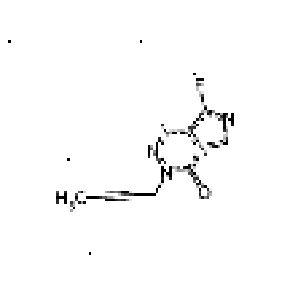 CC#CCn1nnc2c(F)ncn2c1=O